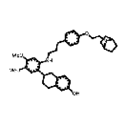 COc1cc(NCCCc2ccc(OCCN3C4CCC3CC4)cc2)c(C2CCc3cc(O)ccc3C2)cc1OC